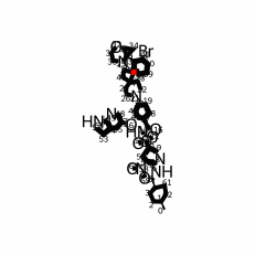 C[C@H]1CC[C@@H](CNc2ncc(S(=O)(=O)NC(=O)c3ccc(N4CCC5(CC4)CC(N4CCOC6C[C@@]64c4ccccc4Br)C5)cc3Oc3cnc4[nH]ccc4c3)cc2[N+](=O)[O-])CC1